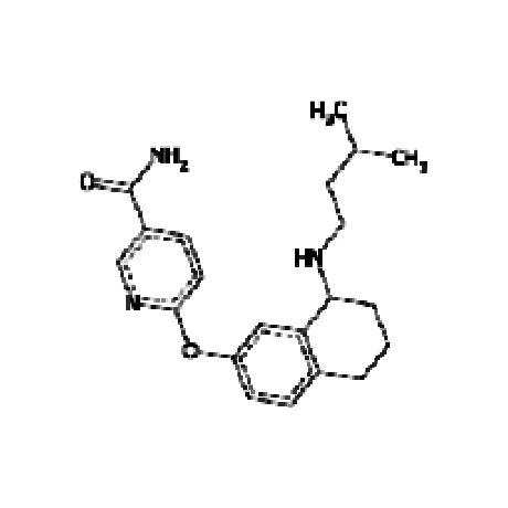 CC(C)CCNC1CCCc2ccc(Oc3ccc(C(N)=O)cn3)cc21